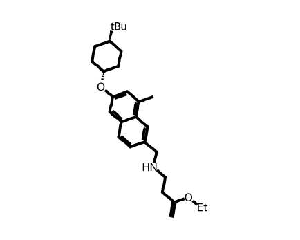 C=C(CCNCc1ccc2cc(O[C@H]3CC[C@H](C(C)(C)C)CC3)cc(C)c2c1)OCC